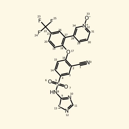 N#Cc1cc(S(=O)(=O)Nc2ncns2)ccc1Oc1ccc(C(F)(F)F)cc1-c1ccc[n+]([O-])c1